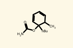 CCCCC1(OC(N)=O)C=CC=CC1C